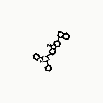 FC1(F)c2cc(C3=NC(c4ccccc4)NC(c4ccccc4)=N3)ccc2-c2ccc(-c3cccc4ccccc34)cc21